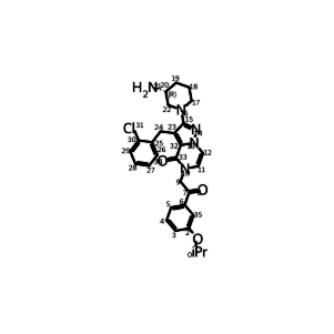 CC(C)Oc1cccc(C(=O)Cn2ccn3nc(N4CCC[C@@H](N)C4)c(Cc4ccccc4Cl)c3c2=O)c1